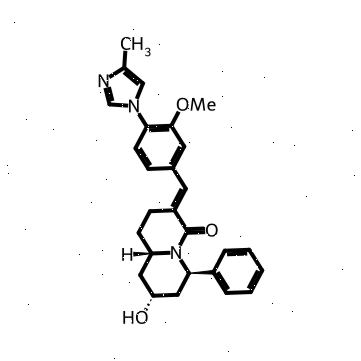 COc1cc(/C=C2\CC[C@H]3C[C@@H](O)C[C@H](c4ccccc4)N3C2=O)ccc1-n1cnc(C)c1